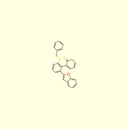 S=C1CC=CC=C1c1c(SCc2ccccc2)[c]ccc1-c1cc2ccccc2o1